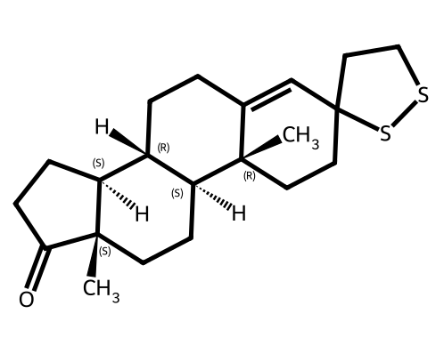 C[C@]12CCC3(C=C1CC[C@@H]1[C@@H]2CC[C@]2(C)C(=O)CC[C@@H]12)CCSS3